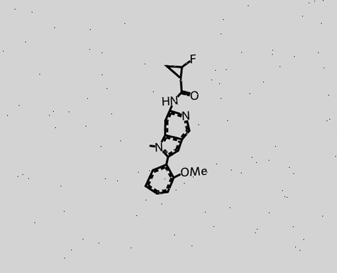 COc1ccccc1-c1cc2cnc(NC(=O)C3CC3F)cc2n1C